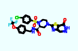 O=C(NCc1ccc(OC(F)(F)F)cc1)[C@H]1CN(c2nc3cn[nH]c(=O)c3s2)CCN1S(=O)(=O)c1ccc(Cl)cc1